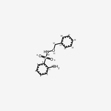 Bc1ccccc1S(=O)(=O)NOCc1ccccc1